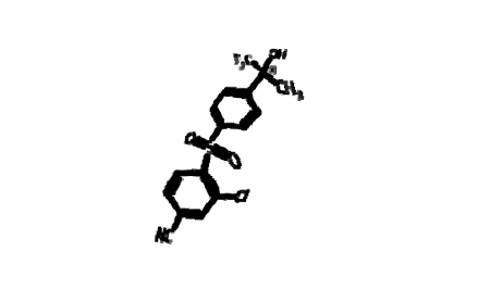 C[C@@](O)(c1ccc(S(=O)(=O)c2ccc(C#N)cc2Cl)cc1)C(F)(F)F